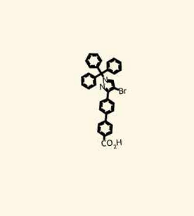 O=C(O)c1ccc(-c2ccc(-c3nn(C(c4ccccc4)(c4ccccc4)c4ccccc4)cc3Br)cc2)cc1